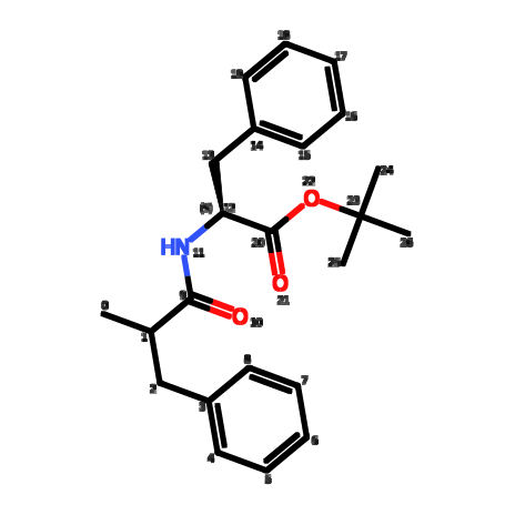 CC(Cc1ccccc1)C(=O)N[C@@H](Cc1ccccc1)C(=O)OC(C)(C)C